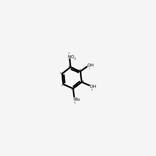 CC(C)(C)c1ccc([N+](=O)[O-])c(O)c1O